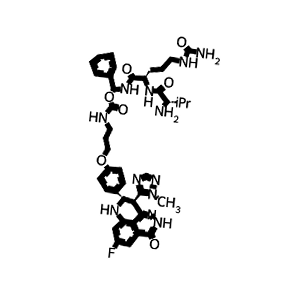 CC(C)[C@H](N)C(=O)N[C@@H](CCCNC(N)=O)C(=O)NC(OC(=O)NCCCOc1ccc([C@H]2Nc3cc(F)cc4c(=O)[nH]nc(c34)[C@@H]2c2ncnn2C)cc1)c1ccccc1